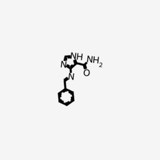 NC(=O)c1[nH]cnc1N=Cc1ccccc1